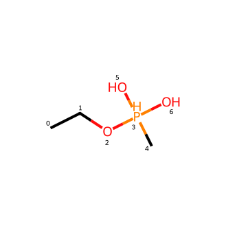 CCO[PH](C)(O)O